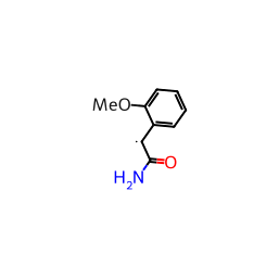 COc1ccccc1[CH]C(N)=O